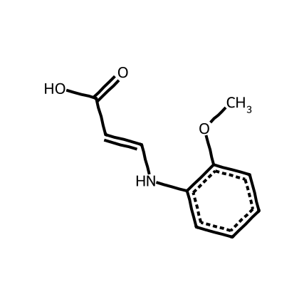 COc1ccccc1NC=CC(=O)O